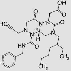 C#CCN1CC(=O)N2[C@@H](CC(=O)O)C(=O)N(CC(CC)CCCC)C[C@@H]2N1C(=O)NCc1ccccc1